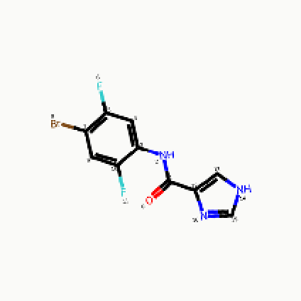 O=C(Nc1cc(F)c(Br)cc1F)c1c[nH]cn1